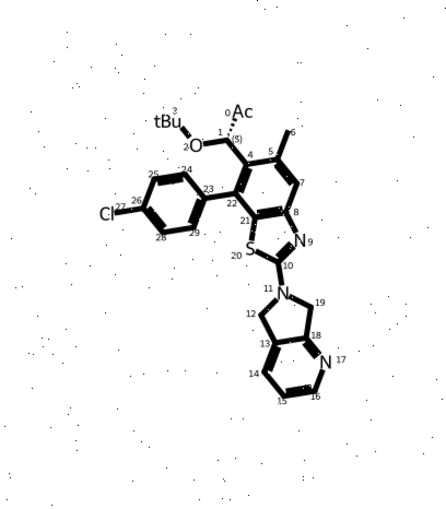 CC(=O)[C@@H](OC(C)(C)C)c1c(C)cc2nc(N3Cc4cccnc4C3)sc2c1-c1ccc(Cl)cc1